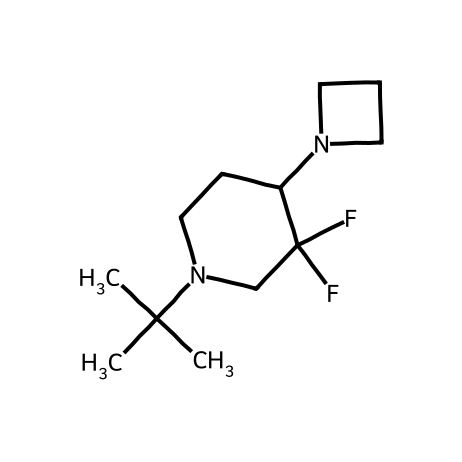 CC(C)(C)N1CCC(N2CCC2)C(F)(F)C1